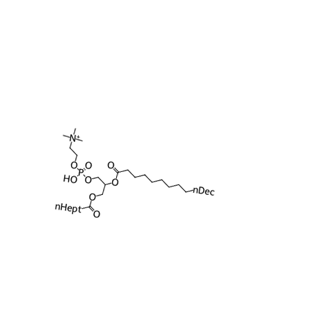 CCCCCCCCCCCCCCCCCCC(=O)OC(COC(=O)CCCCCCC)COP(=O)(O)OCC[N+](C)(C)C